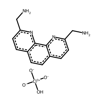 NCc1ccc2ccc3ccc(CN)nc3c2n1.[O-][Cl+3]([O-])([O-])O